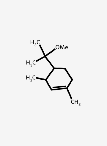 COC(C)(C)C1CCC(C)=CC1C